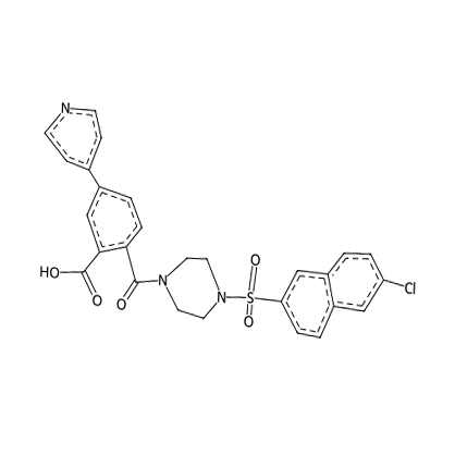 O=C(O)c1cc(-c2ccncc2)ccc1C(=O)N1CCN(S(=O)(=O)c2ccc3cc(Cl)ccc3c2)CC1